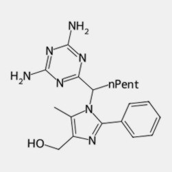 CCCCCC(c1nc(N)nc(N)n1)n1c(-c2ccccc2)nc(CO)c1C